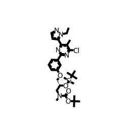 CCn1nccc1-c1nc(-c2cccc(OC[C@@H](CN(C)C(=O)OC(C)(C)C)O[Si](C)(C)C(C)(C)C)c2)nc(Cl)c1C